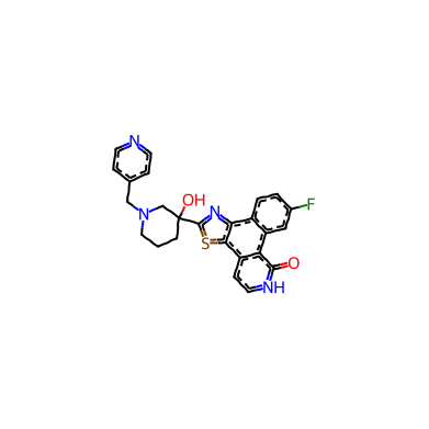 O=c1[nH]ccc2c3sc(C4(O)CCCN(Cc5ccncc5)C4)nc3c3ccc(F)cc3c12